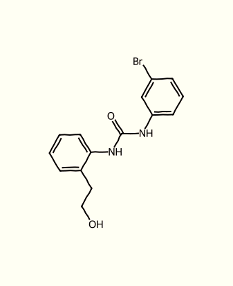 O=C(Nc1cccc(Br)c1)Nc1ccccc1CCO